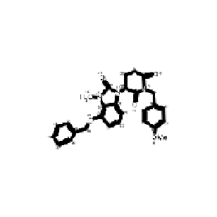 COc1ccc(CN2C(=O)CCC(n3c(=O)n(C)c4c(OCc5ccccc5)cccc43)C2=O)cc1